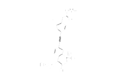 CCOC(=O)C1=C(CC)CC(CC)(CC)c2cc(C#Cc3ccc(CC(=O)OC)c(F)c3)ccc21